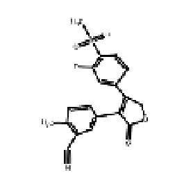 Cc1ccc(C2=C(c3ccc(S(C)(=O)=O)c(F)c3)COC2=O)cc1C#N